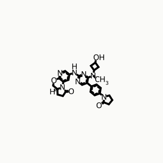 CN(c1nc(Nc2cnc3c(c2)N2C(=O)CC[C@H]2CO3)ncc1-c1ccc(N2CCCC2=O)cc1)C1CC(O)C1